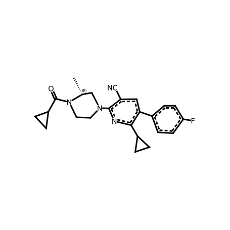 C[C@@H]1CN(c2nc(C3CC3)c(-c3ccc(F)cc3)cc2C#N)CCN1C(=O)C1CC1